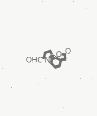 O=CC1CCC2N1C1C=CC3=CC(=O)OC32C1